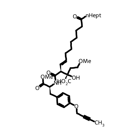 CC#CCOc1ccc(C[C@H](NC(=O)[C@@H](C=CCCCCCCC(=O)CCCCCCC)[C@@](O)(CCOC)C(=O)O)C(=O)OC)cc1